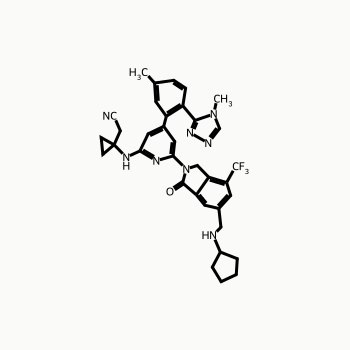 Cc1ccc(-c2nncn2C)c(-c2cc(NC3(CC#N)CC3)nc(N3Cc4c(cc(CNC5CCCC5)cc4C(F)(F)F)C3=O)c2)c1